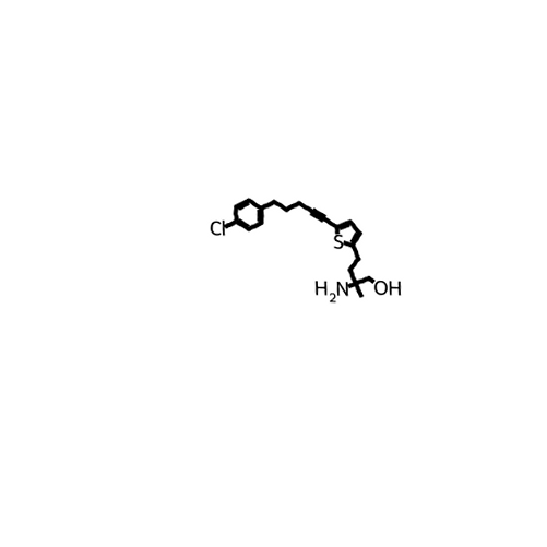 CC(N)(CO)CCc1ccc(C#CCCCc2ccc(Cl)cc2)s1